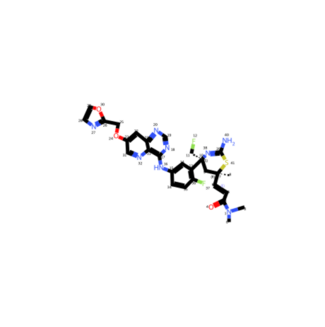 CN(C)C(=O)/C=C/[C@@]1(C)C[C@@](CF)(c2cc(Nc3ncnc4cc(OCc5ncco5)cnc34)ccc2F)N=C(N)S1